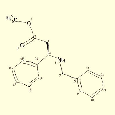 COC(=O)C[C@@H](NCc1ccccc1)c1ccccc1